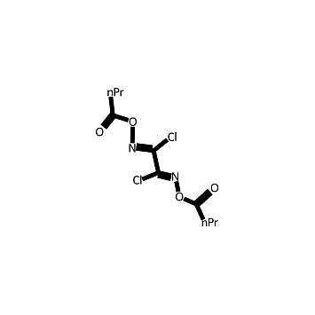 CCCC(=O)ON=C(Cl)C(Cl)=NOC(=O)CCC